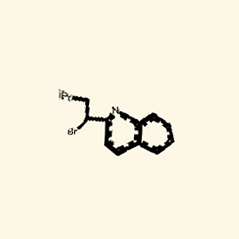 CC(C)CC(Br)c1ccc2ccccc2n1